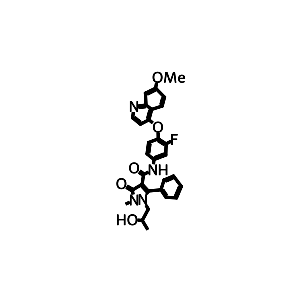 COc1ccc2c(Oc3ccc(NC(=O)c4c(-c5ccccc5)n(CC(C)O)n(C)c4=O)cc3F)ccnc2c1